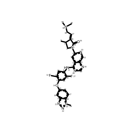 CC1CN(c2cc3c(Nc4cc(F)c(Oc5ccc6c(c5)nnn6C)cc4F)ncnc3cn2)C(=O)/C1=C/CN(C)C